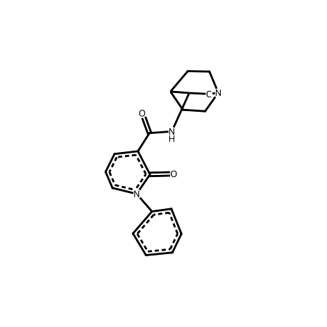 O=C(NC1CN2CCC1CC2)c1cccn(-c2ccccc2)c1=O